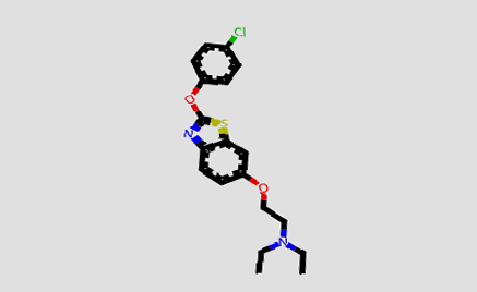 CCN(CC)CCOc1ccc2nc(Oc3ccc(Cl)cc3)sc2c1